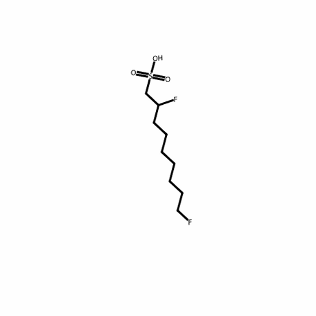 O=S(=O)(O)CC(F)CCCCCCCF